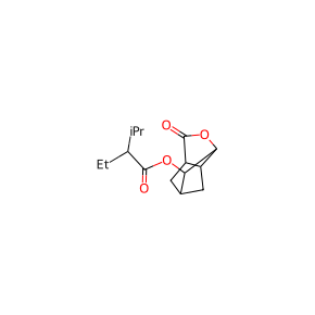 CCC(C(=O)OC1C2CC3C(=O)OC1C3C2)C(C)C